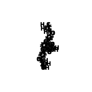 CCC(O)CNC(=O)C1CCN(C(=O)CN(CC(=O)O)C2CCCCC2N(CC(=O)O)CC(=O)N2CCC(C(=O)NCC(O)CO)CC2)CC1